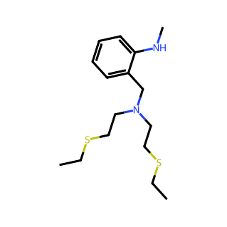 CCSCCN(CCSCC)Cc1ccccc1NC